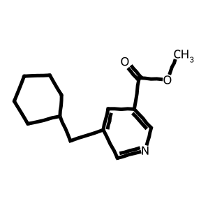 COC(=O)c1cncc(CC2CCCCC2)c1